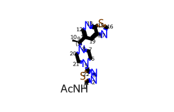 CC(=O)Nc1nnc(N2CCN([C@@H](C)c3cnc4scnc4c3)CC2)s1